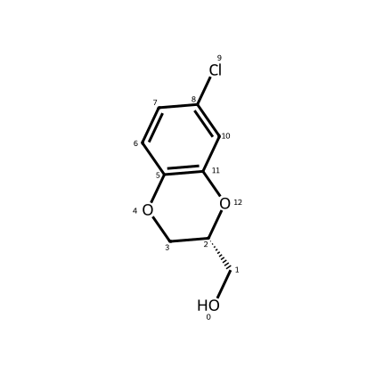 OC[C@@H]1COc2ccc(Cl)cc2O1